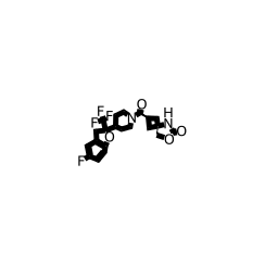 O=C1N[C@]2(CO1)C[C@H](C(=O)N1CCC(C3(C(F)(F)F)Cc4cc(F)ccc4O3)CC1)C2